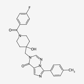 Cc1ccc(-c2ncc3c(=O)n(CC4(O)CCN(C(=O)c5ccc(F)cc5)CC4)cnn23)cc1